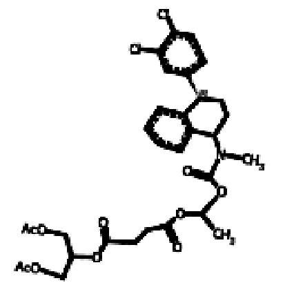 CC(=O)OCC(COC(C)=O)OC(=O)CCC(=O)OC(C)OC(=O)N(C)C1CC[C@@H](c2ccc(Cl)c(Cl)c2)c2ccccc21